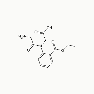 CCOC(=O)c1ccccc1N(CC(=O)O)C(=O)CN